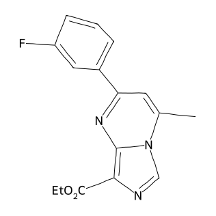 CCOC(=O)c1ncn2c(C)cc(-c3cccc(F)c3)nc12